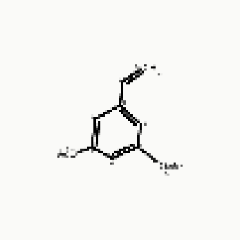 C=Cc1cc(OC)cc(OC(C)=O)c1